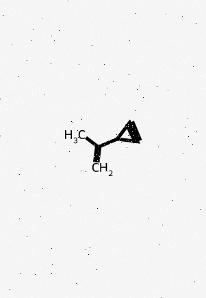 C=C(C)C1C#C1